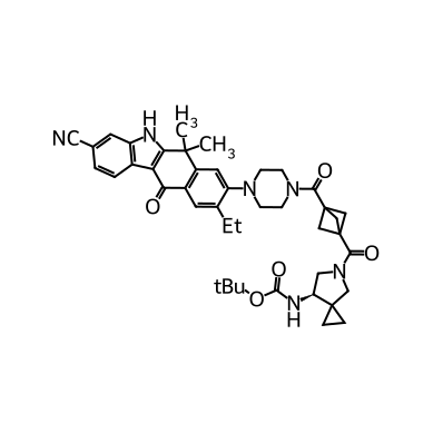 CCc1cc2c(cc1N1CCN(C(=O)C34CC(C(=O)N5C[C@H](NC(=O)OC(C)(C)C)C6(CC6)C5)(C3)C4)CC1)C(C)(C)c1[nH]c3cc(C#N)ccc3c1C2=O